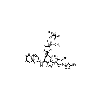 CCc1cc([C@H]2O[C@@H](n3cnc4c(N[C@H](CO)Cc5ccccc5)nc(N5CC[C@@H](N(C)C)C5)nc43)[C@H](O)[C@@H]2O)on1.O=C(O)C(F)(F)F